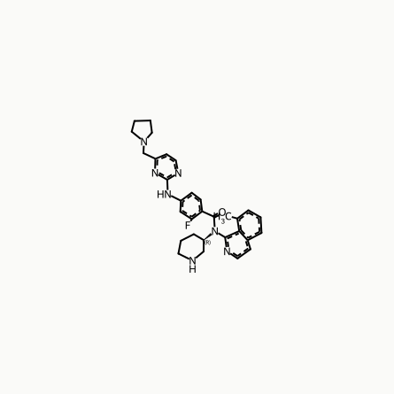 Cc1cccc2ccnc(N(C(=O)c3ccc(Nc4nccc(CN5CCCC5)n4)cc3F)[C@@H]3CCCNC3)c12